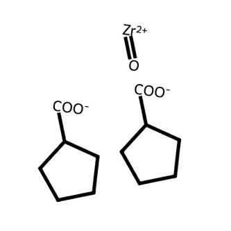 O=C([O-])C1CCCC1.O=C([O-])C1CCCC1.[O]=[Zr+2]